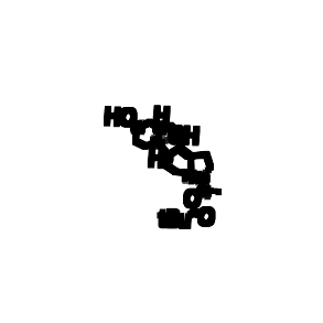 C[C@H](OC(=O)C(C)(C)C)[C@H]1CCC2=C3CC[C@H]4C[C@@H](O)CC[C@]4(CO)[C@H]3CC[C@@]21C